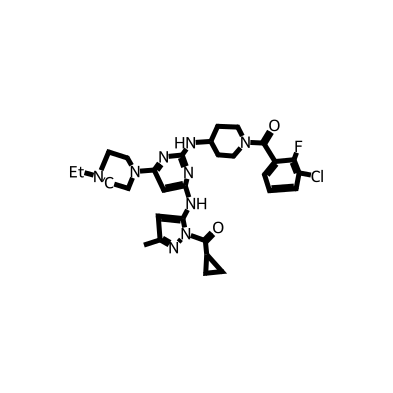 CCN1CCN(c2cc(Nc3cc(C)nn3C(=O)C3CC3)nc(NC3CCN(C(=O)c4cccc(Cl)c4F)CC3)n2)CC1